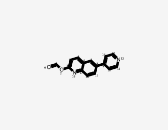 O=COc1ccc2cc(-c3ccncc3)ccc2n1